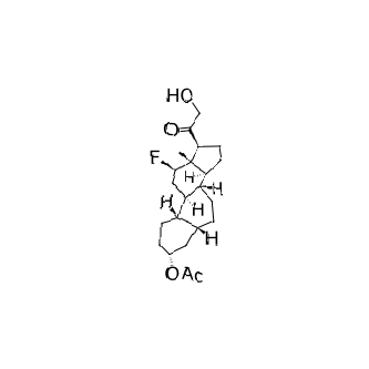 CC(=O)O[C@@H]1CC[C@H]2[C@H](CC[C@@H]3[C@@H]2C[C@@H](F)[C@]2(C)[C@@H](C(=O)CO)CC[C@@H]32)C1